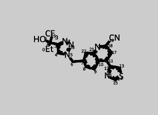 CCC(O)(c1cn(Cc2ccc3c(-c4cscn4)cc(C#N)nc3c2)nn1)C(F)(F)F